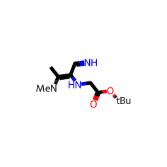 CN/C(C)=C(/C=N)NCC(=O)OC(C)(C)C